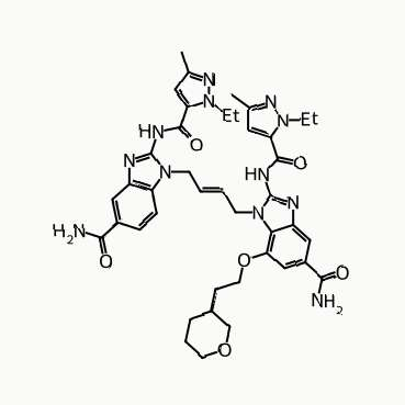 CCn1nc(C)cc1C(=O)Nc1nc2cc(C(N)=O)ccc2n1C/C=C/Cn1c(NC(=O)c2cc(C)nn2CC)nc2cc(C(N)=O)cc(OCCC3CCCOC3)c21